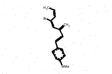 C=C(/C=C/c1ccc(NC)cc1)/C=C(Br)\C=C/C